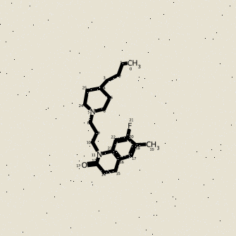 CCCCC1CCN(CCCN2C(=O)CCc3cc(C)c(F)cc32)CC1